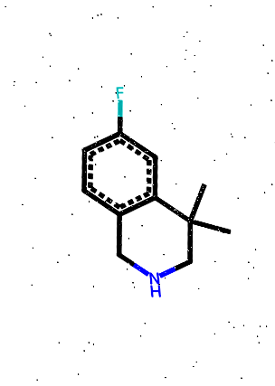 CC1(C)CNCc2ccc(F)cc21